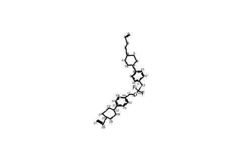 C=CCCC1CCC(c2ccc(CC(F)(F)OCc3ccc(C4CCC(C=C)CC4)cc3)cc2)CC1